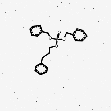 O=P(OCCCc1ccccc1)(OCc1ccccc1)OCc1ccccc1